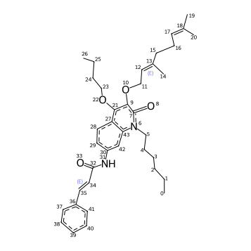 CCCCCCn1c(=O)c(OC/C=C(\C)CCC=C(C)C)c(OCCCC)c2ccc(NC(=O)/C=C/c3ccccc3)cc21